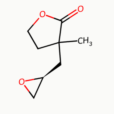 CC1(C[C@H]2CO2)CCOC1=O